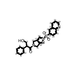 O=C(C(CO)c1ccccc1)N1Cc2cn(S(=O)(=O)c3ccc4ncccc4c3)nc2C1